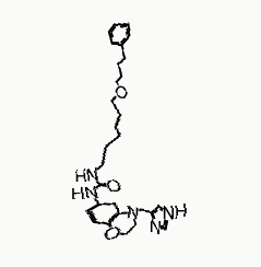 O=C(NCCCCCCOCCCCc1ccccc1)NC1C=CC2=C(C1)N(Cc1c[nH]cn1)CCO2